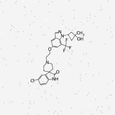 CC1(O)CC(n2ncc3cc(OCCN4CCC5(CC4)C(=O)Nc4ccc(Cl)cc45)cc(C(F)(F)F)c32)C1